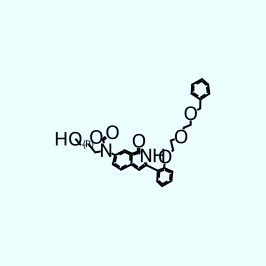 O=C1O[C@@H](CO)CN1c1ccc2cc(-c3ccccc3OCCOCCOCc3ccccc3)[nH]c(=O)c2c1